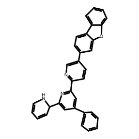 C1=CNC(c2cc(-c3ccccc3)cc(-c3ccc(-c4ccc5c(c4)oc4ccccc45)cn3)n2)C=C1